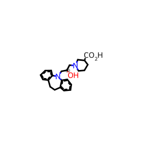 O=C(O)C1CCCN(C[C@@H](O)CN2c3ccccc3CCc3ccccc32)C1